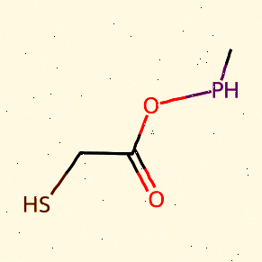 CPOC(=O)CS